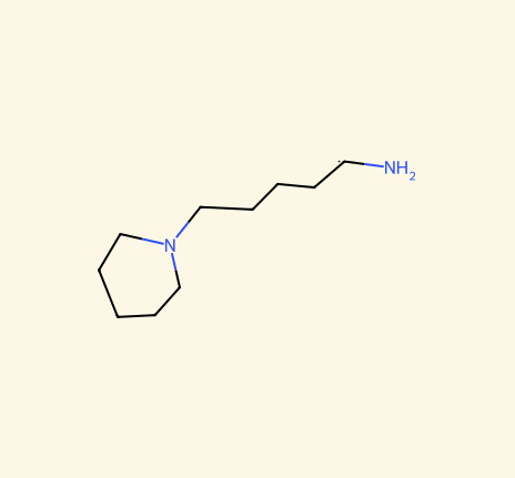 N[CH]CCCCN1CCCCC1